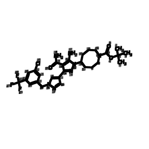 CC(C)(C)OC(=O)N1CCCC(n2nc(-c3cnn(Cc4cc(Cl)cc(C(F)(F)F)c4)c3)c(C(N)=O)c2N)CCC1